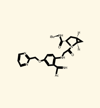 CC[C@H](C)NC(=O)[C@@H]1C[C@H]2C[C@H]2N1C(=O)CNc1ccc(OCc2ncccn2)cc1C(=N)C(C)=O